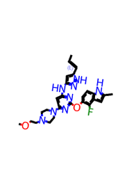 C/C=C/c1cc(Nc2cc(N3CCN(CCOC)CC3)nc(Oc3ccc4[nH]c(C)cc4c3F)n2)n[nH]1